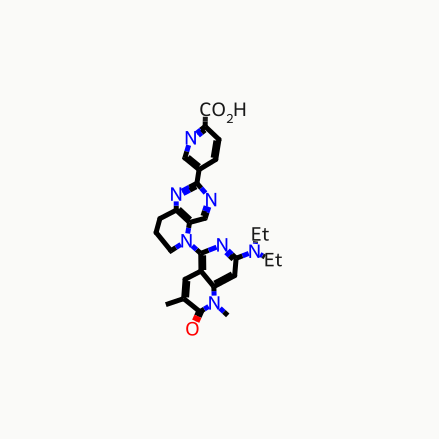 CCN(CC)c1cc2c(cc(C)c(=O)n2C)c(N2CCCc3nc(-c4ccc(C(=O)O)nc4)ncc32)n1